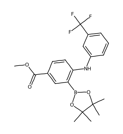 COC(=O)c1ccc(Nc2cccc(C(F)(F)F)c2)c(B2OC(C)(C)C(C)(C)O2)c1